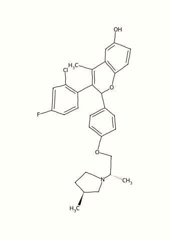 CC1=C(c2ccc(F)cc2Cl)C(c2ccc(OC[C@H](C)N3CC[C@H](C)C3)cc2)Oc2ccc(O)cc21